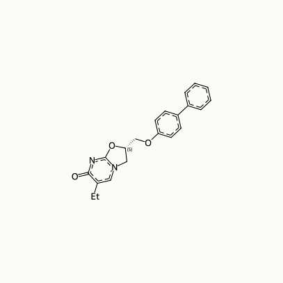 CCc1cn2c(nc1=O)O[C@H](COc1ccc(-c3ccccc3)cc1)C2